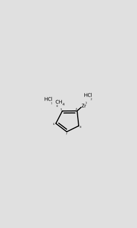 C.Cl.Cl.[Zr][C]1=CC=CC1